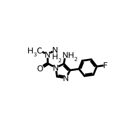 CN(N)C(=O)n1cnc(-c2ccc(F)cc2)c1N